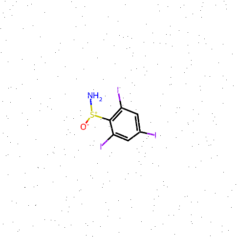 N[S+]([O-])c1c(I)cc(I)cc1I